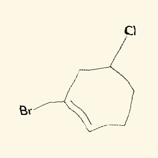 ClC1CCC=C(Br)C1